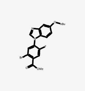 CCCCOc1ccc2c(c1)ncn2-c1cc(Br)c(C(=O)OC)cc1F